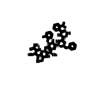 CCCCC(NC(=O)[C@H](CC(C)C)NC(=O)[C@@H](NC(=O)[C@H](Cc1ccccc1C)NC(=O)[C@@H](COCc1ccccc1)NC(=O)[C@H](CO)NC(=O)c1ccccc1N(C)C)C(C)(C)C)C(=O)C(N)=O